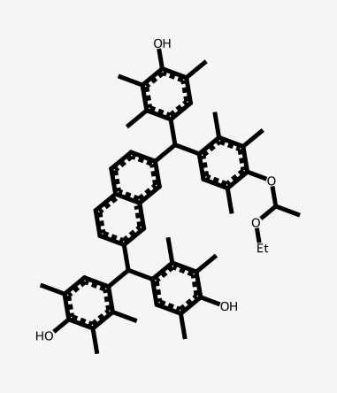 CCOC(C)Oc1c(C)cc(C(c2ccc3ccc(C(c4cc(C)c(O)c(C)c4C)c4cc(C)c(O)c(C)c4C)cc3c2)c2cc(C)c(O)c(C)c2C)c(C)c1C